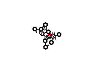 Cc1ccccc1-c1ccc2c(c1)c1ccccc1n2-c1ccncc1-c1cc(-c2nc(-c3ccccc3)nc(-c3ccccc3)n2)ccc1-n1c2ccccc2c2cc(-c3ccccc3C)ccc21